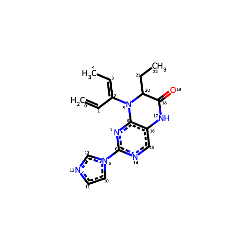 C=C/C(=C\C)N1c2nc(-n3ccnc3)ncc2NC(=O)C1CC